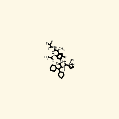 CC(C(=O)NC(F)C(F)F)c1cc(F)c(NC(=O)C(NC(=O)c2ccnn2C(C)C)C(C2CCCCC2)C2CCCCC2)cc1OC(N)=O